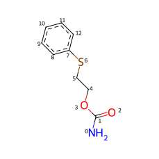 NC(=O)OCCSc1ccccc1